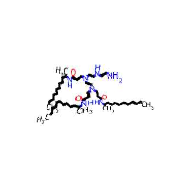 CCCCCCCCCCC(C)NC(=O)CCN(CCNCCN)CCN(CCC(=O)NC(C)CCCCCCCCCC)CCC(=O)NC(C)CCCCCCCCCC